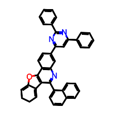 C1=c2oc3c(c(-c4cccc5ccccc45)nc4cc(-c5cc(-c6ccccc6)nc(-c6ccccc6)n5)ccc43)c2=CCC1